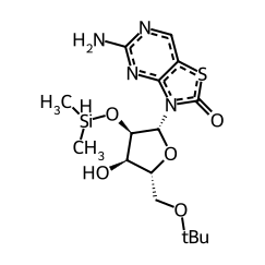 C[SiH](C)O[C@@H]1[C@H](O)[C@@H](COC(C)(C)C)O[C@H]1n1c(=O)sc2cnc(N)nc21